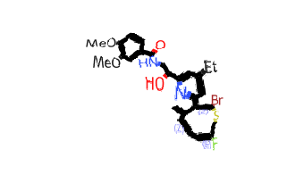 C=C1/C=C\C=C(\F)CS/C(Br)=C\1c1cc(CC)cc(C(O)CNC(=O)c2ccc(OC)c(OC)c2)n1